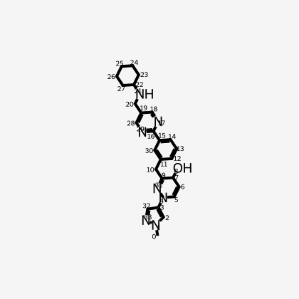 Cn1cc(N2C=CC(O)C(Cc3cccc(-c4ncc(CNC5CCCCC5)cn4)c3)=N2)cn1